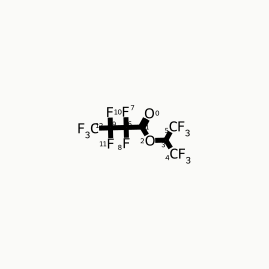 O=C(OC(C(F)(F)F)C(F)(F)F)C(F)(F)C(F)(F)C(F)(F)F